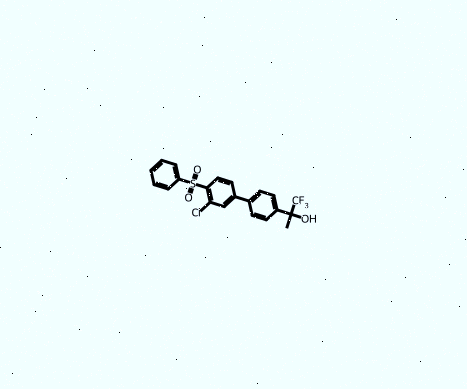 CC(O)(c1ccc(-c2ccc(S(=O)(=O)c3ccccc3)c(Cl)c2)cc1)C(F)(F)F